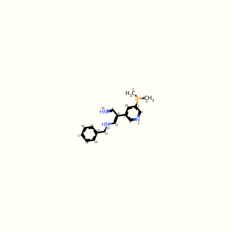 CP(C)c1cncc(/C(C=N)=C/NCc2ccccc2)c1